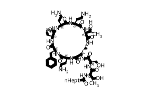 CCCCCCCC(=O)N[C@H](C(=O)N[C@H](CO)C(=O)N[C@H]1CCNC(=O)[C@H]([C@@H](C)O)NC(=O)[C@H](CCN)NC(=O)[C@H](CCN)NC(=O)[C@H](CC(C)C)NC(=O)[C@H](Cc2ccccc2)NC(=O)[C@H](CCN)NC1=O)[C@@H](C)O